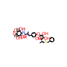 C/C(=C/SCc1ccccc1)[C@H]1O[C@@H](Oc2ccc(/C=C(\C)C(=O)N[C@@H]3[C@H](O)[C@@H](O)[C@H]4OCO[C@H]4[C@@H]3O)cc2O)[C@@H](O)[C@@H]1O